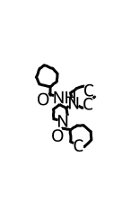 O=C(NC1CCN(C(=O)C2CCCCCCC2)CC1N1CCCCCCC1)C1CCCCCCC1